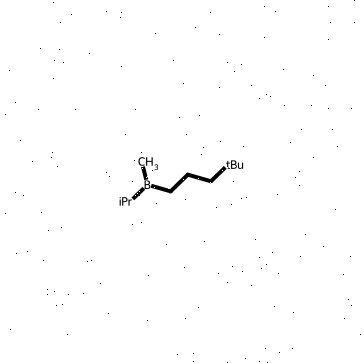 CB(CCCC(C)(C)C)C(C)C